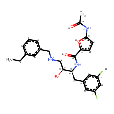 CCc1cccc(CNC[C@@H](O)[C@H](Cc2cc(F)cc(F)c2)NC(=O)c2ccc(NC(C)=O)o2)c1